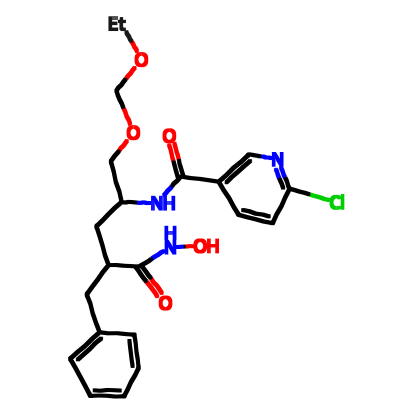 CCOCOCC(CC(Cc1ccccc1)C(=O)NO)NC(=O)c1ccc(Cl)nc1